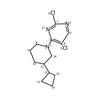 Clc1ncc(Cl)c(N2CCCC(C3CCC3)C2)n1